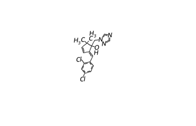 CC1(C)C=CC(=Cc2ccc(Cl)cc2Cl)C1(O)Cn1cncn1